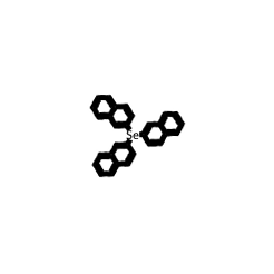 c1ccc2cc([Se+](c3ccc4ccccc4c3)c3ccc4ccccc4c3)ccc2c1